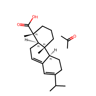 CC(C)=O.CC(C)C1=CC2=CC[C@@H]3[C@](C)(CCC[C@@]3(C)C(=O)O)[C@H]2CC1